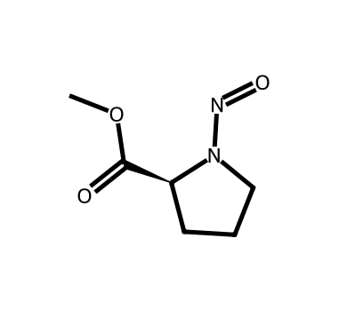 COC(=O)[C@@H]1CCCN1N=O